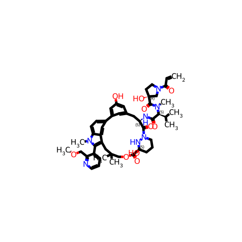 C=CC(=O)N1CC[C@](O)(C(=O)N(C)[C@H](C(=O)N[C@H]2Cc3cc(O)cc(c3)-c3ccc4c(c3)c(c(-c3cccnc3COC)n4C)CC(C)(C)COC(=O)[C@@]3(O)CCCN(N3)C2=O)C(C)C)C1